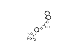 CC(C)OC(Cc1cccc(OCC(O)COc2ccc3ccccc3n2)c1)C(=O)O